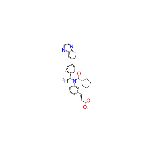 [2H]C(c1ccc(-c2ccc3nccnc3c2)cc1)N(C(=O)C1CCCCC1)c1cccc(/C=C/C(=O)OC)c1